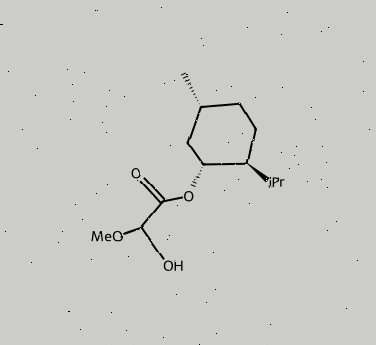 COC(O)C(=O)O[C@@H]1C[C@H](C)CC[C@H]1C(C)C